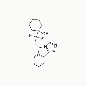 CC(=O)OC1(C(F)(F)CC2c3ccccc3-c3cncn32)CCCCC1